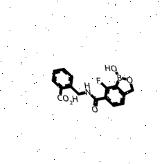 O=C(O)c1ccccc1CNC(=O)c1ccc2c(c1F)B(O)OC2